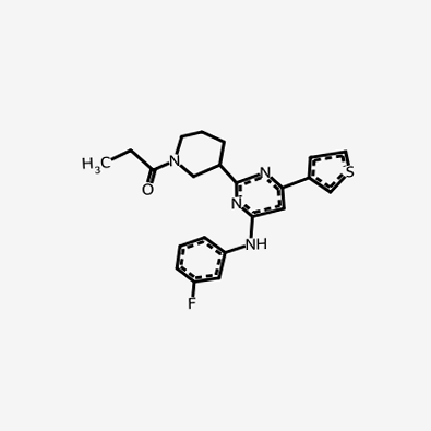 CCC(=O)N1CCCC(c2nc(Nc3cccc(F)c3)cc(-c3ccsc3)n2)C1